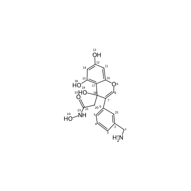 NCc1cccc(C2=COc3cc(O)cc(O)c3C2(O)CC(=O)NO)c1